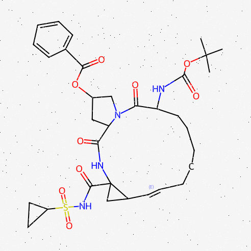 CC(C)(C)OC(=O)NC1CCCCC/C=C/C2CC2(C(=O)NS(=O)(=O)C2CC2)NC(=O)C2CC(OC(=O)c3ccccc3)CN2C1=O